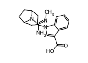 CN=C(N)N1C2CCC1CC(n1cc(C(=O)O)c3ccccc31)C2